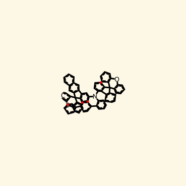 c1ccc(-c2ccc(-c3ccccc3N(c3ccc4c(c3)-c3cc5ccccc5cc3C43c4ccccc4Sc4ccccc43)c3cccc4c3-c3ccccc3C43c4ccccc4Oc4ccccc43)cc2)cc1